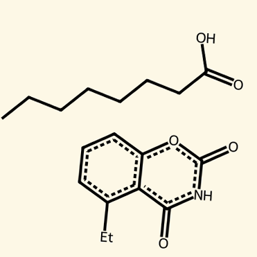 CCCCCCCC(=O)O.CCc1cccc2oc(=O)[nH]c(=O)c12